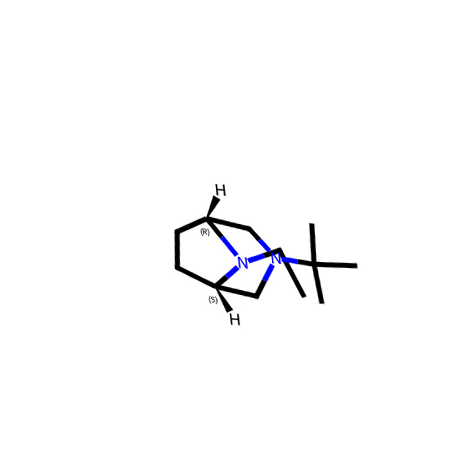 CCN1[C@@H]2CC[C@H]1CN(C(C)(C)C)C2